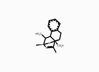 CC1=N[C@@]2(C)OC3Cc4ccccc4C(C2C(=O)O)[C@@]13C(=O)O